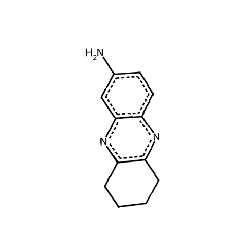 Nc1ccc2nc3c(nc2c1)CCCC3